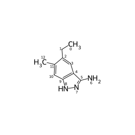 CCc1cc2c(N)n[nH]c2cc1C